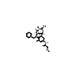 COCC(=O)NC1=CC(C)C(F)C([C@@]2(C)NC(=N)N(C)S(=O)(=O)[C@@]23CCN(Cc2ccccc2)C3)C1